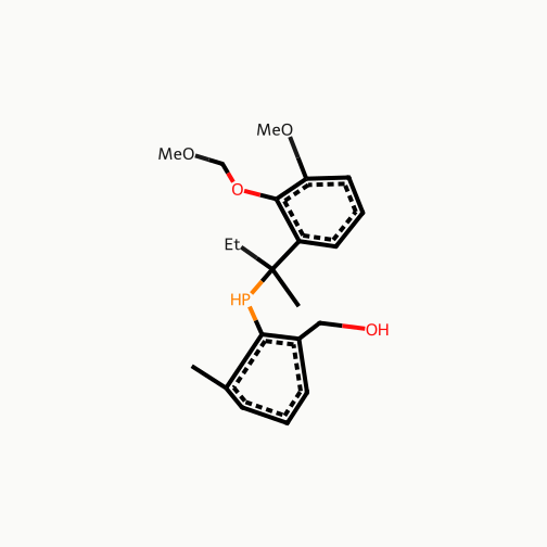 CCC(C)(Pc1c(C)cccc1CO)c1cccc(OC)c1OCOC